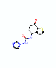 O=C(NC1CCC(=O)c2sccc21)Nn1ccnc1